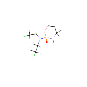 [2H]N1C([2H])([2H])CCOP1(=O)N(CC([2H])([2H])Cl)C([2H])([2H])C([2H])([2H])Cl